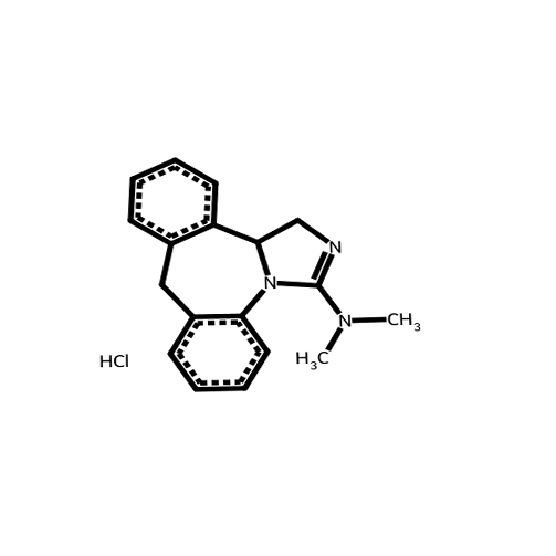 CN(C)C1=NCC2c3ccccc3Cc3ccccc3N12.Cl